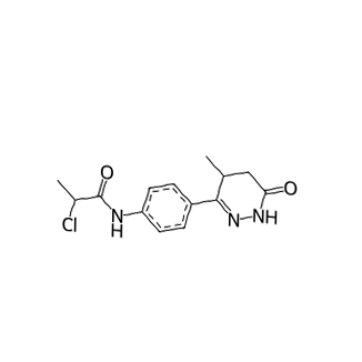 CC(Cl)C(=O)Nc1ccc(C2=NNC(=O)CC2C)cc1